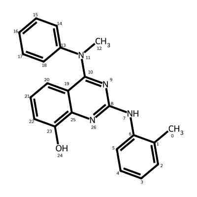 Cc1ccccc1Nc1nc(N(C)c2ccccc2)c2cccc(O)c2n1